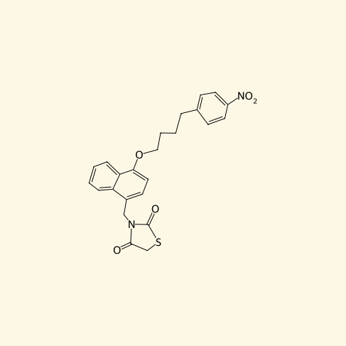 O=C1CSC(=O)N1Cc1ccc(OCCCCc2ccc([N+](=O)[O-])cc2)c2ccccc12